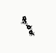 O=c1nc(OCc2ccc(Oc3ccc(Cl)c(C(F)(F)F)c3)c(F)c2)cc2n1CC13CCC(CC1)N23